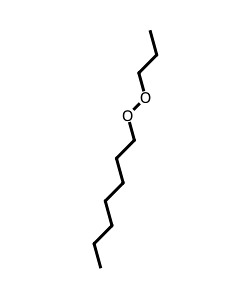 CCCCCCCOOCCC